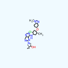 Cc1cc(Nc2ncnc3cnc(N4C[C@@H](O)C5(CC5)C4)nc23)c(Cl)cc1Oc1ccc2c(c1)ncn2C